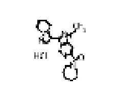 Cl.O=C(c1cc2c(cn1)c(-c1cnn3ccccc13)nn2CC(F)(F)F)N1CCCCCC1